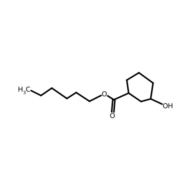 CCCCCCOC(=O)C1CCCC(O)C1